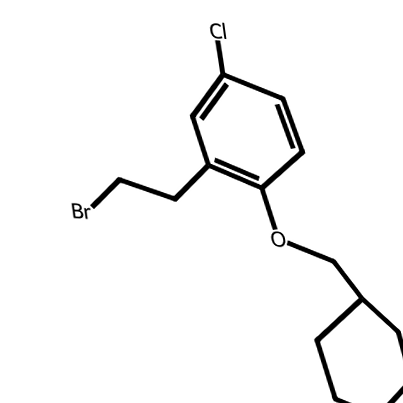 Clc1ccc(OCC2CCCCC2)c(CCBr)c1